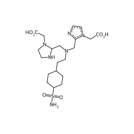 NS(=O)(=O)C1CCC(CCN(Cc2nccn2CC(=O)O)CC2NCCN2CC(=O)O)CC1